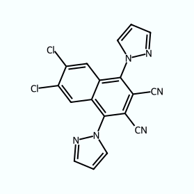 N#Cc1c(C#N)c(-n2cccn2)c2cc(Cl)c(Cl)cc2c1-n1cccn1